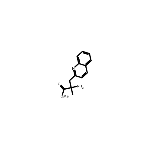 COC(=O)C(C)(N)Cc1ccc2ccccc2n1